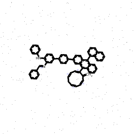 C=C1/C=C\C=C/C/C=C\C=C/1c1c2ccccc2c(-c2cccc3ccccc23)c2ccc(-c3ccc(-c4ccc(Nc5ccccc5)c(/N=C/c5ccccc5)c4)cc3)cc12